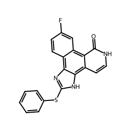 O=c1[nH]ccc2c3[nH]c(Sc4ccccc4)nc3c3ccc(F)cc3c12